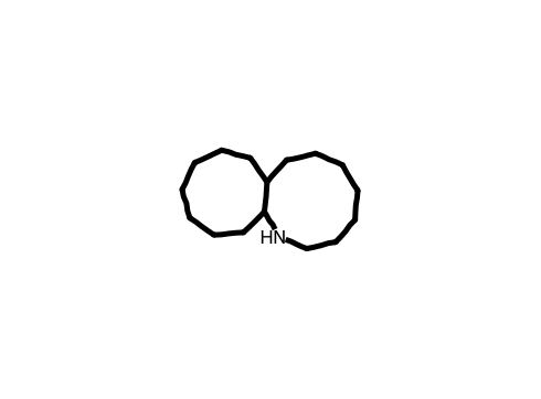 C1CCCNC2CCCCCCCC2CCC1